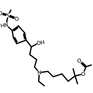 CCN(CCCCC(C)(C)OC(C)=O)CCCC(O)c1ccc(NS(C)(=O)=O)cc1